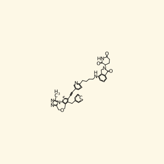 Cc1nnc2n1-c1sc(C#Cc3ccc(CCCCNc4cccc5c4CN(C4CCC(=O)NC4=O)C5=O)nc3)c(Cc3ccccc3)c1COC2